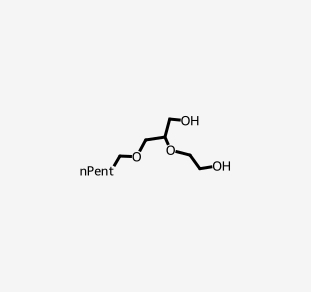 CCCCCCOCC(CO)OCCO